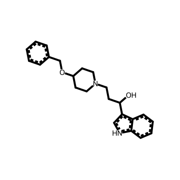 OC(CCN1CCC(OCc2ccccc2)CC1)c1c[nH]c2ccccc12